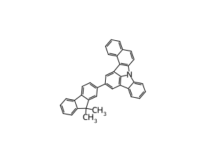 CC1(C)c2ccccc2-c2ccc(-c3cc4c5ccccc5n5c6ccc7ccccc7c6c(c3)c45)cc21